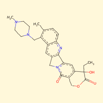 CCC1(O)C(=O)OCc2c1cc1n(c2=O)Cc2cc3c(CN4CCN(C)CC4)c(C)ccc3nc2-1